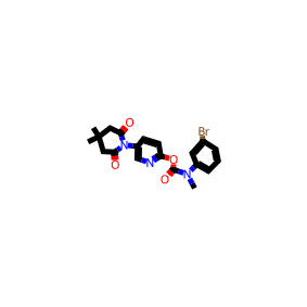 CN(C(=O)Oc1ccc(N2C(=O)CC(C)(C)CC2=O)cn1)c1cccc(Br)c1